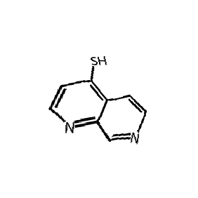 Sc1ccnc2cnccc12